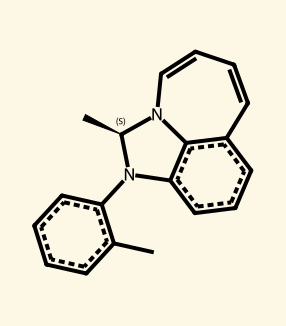 Cc1ccccc1N1c2cccc3c2N(C=CC=C3)[C@@H]1C